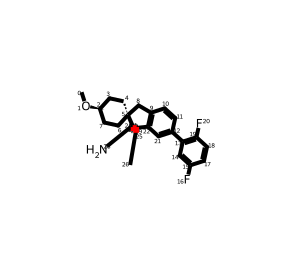 CO[C@H]1CC[C@]2(CC1)Cc1ccc(-c3cc(F)ccc3F)cc1C21N=C(C)C(N)=N1